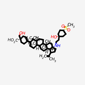 C=C(C)C1CC[C@]2(NCC[C@]3(O)CC[C@@H](S(C)(=O)=O)CC3)CC[C@]3(C)[C@H](CC[C@@H]4[C@@]5(C)CC=C(C6=CC[C@@](CO)(C(=O)O)CC6)C(C)(C)[C@@H]5CC[C@]43C)[C@@H]12